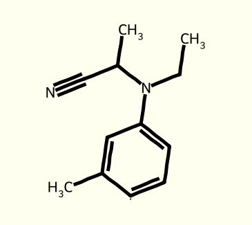 CCN(c1cc[c]c(C)c1)C(C)C#N